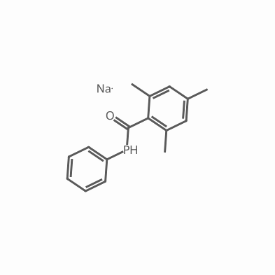 Cc1cc(C)c(C(=O)Pc2ccccc2)c(C)c1.[Na]